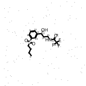 CCCCS(=O)(=O)c1cccc([C@H](O)CCNC(=O)C(F)(F)F)c1